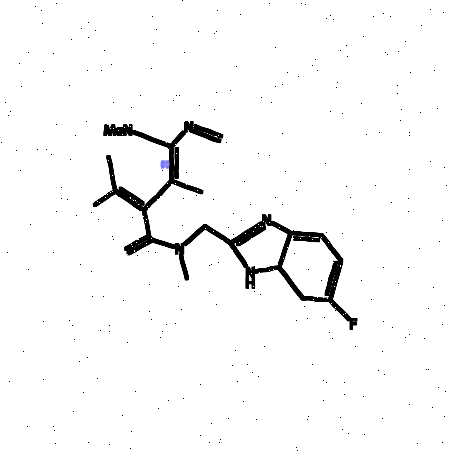 C=N/C(NC)=C(\C)C(C(=C)N(C)CC1=NC2=CC=C(F)CC2N1)=C(C)C